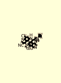 CC(C)(C)CNc1c(C#N)cnc2c(Cl)cc(NC(c3cn(C45CC(C4)C5)nn3)c3cccc4cnccc34)cc12